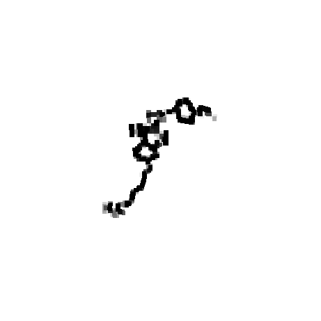 C=CCCCCc1ccc2[nH]c(Nc3ccc(C(F)(F)F)cc3)nc2c1